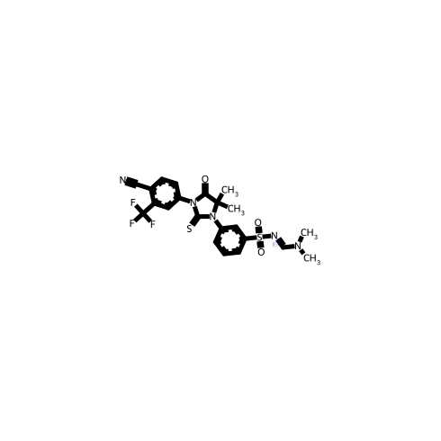 CN(C)/C=N/S(=O)(=O)c1cccc(N2C(=S)N(c3ccc(C#N)c(C(F)(F)F)c3)C(=O)C2(C)C)c1